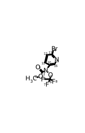 COC(=O)N(OC(F)(F)F)c1ccc(Br)nc1